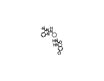 Cc1ccc(Cl)cc1NC(=O)NC[C@H]1CC[C@@H](Nc2nc(N(C)C)c3ccccc3n2)CC1